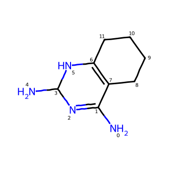 NC1=NC(N)NC2=C1CCCC2